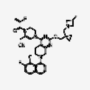 C=C(F)C(=O)N1CCN(c2nc(OCC3(CN4CC(C)C4)CC3)nc3c2CCN(c2cccc4ccc(F)c(Cl)c24)C3)C=C1CC#N